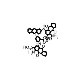 Nc1c(S(=O)(=O)O)cc(Nc2ccc(F)cc2C(=O)OS(=O)(=O)c2cc(Nc3ccc4cc5ccccc5cc4c3)c3c(c2N)C(=O)c2ccccc2C3=O)c2c1C(=O)c1ccccc1C2=O